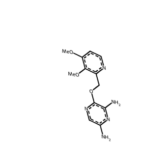 COc1ccnc(COc2ncc(N)nc2N)c1OC